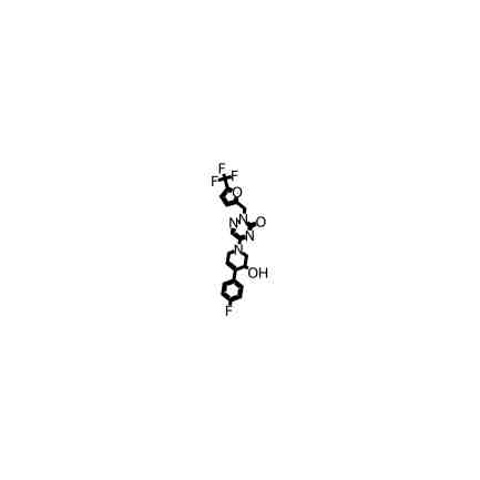 O=c1nc(N2CC=C(c3ccc(F)cc3)C(O)C2)cnn1Cc1ccc(C(F)(F)F)o1